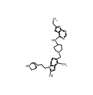 Cc1c(CN2CCC(Nc3ncnc4sc(CC(F)(F)F)cc34)CC2)ccc2c1cc(C#N)n2CCN1CC2CC1CN2